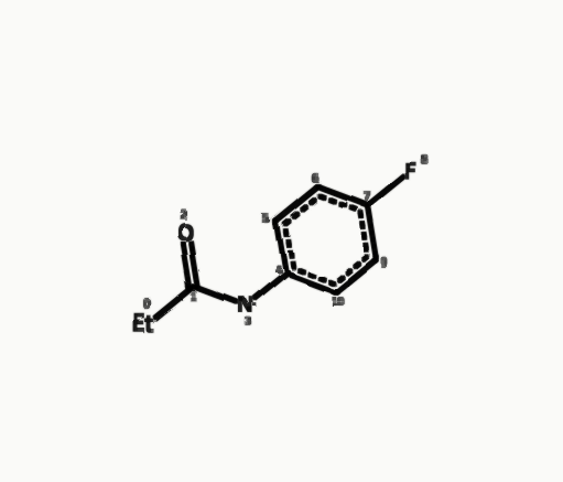 CCC(=O)[N]c1ccc(F)cc1